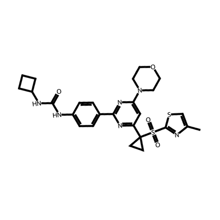 Cc1csc(S(=O)(=O)C2(c3cc(N4CCOCC4)nc(-c4ccc(NC(=O)NC5CCC5)cc4)n3)CC2)n1